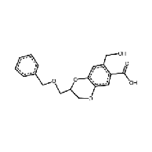 O=C(O)c1cc2c(cc1CO)OC(COCc1ccccc1)CO2